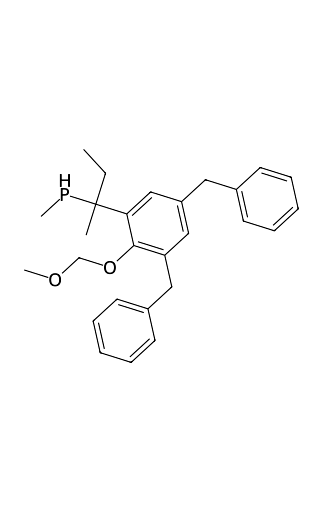 CCC(C)(PC)c1cc(Cc2ccccc2)cc(Cc2ccccc2)c1OCOC